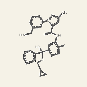 NCc1cccc(-n2nc(C(F)(F)F)cc2C(=O)Nc2cc(C(O)(OCC3CC3)c3ccccn3)ccc2F)c1